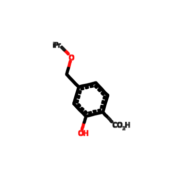 CC(C)OCc1ccc(C(=O)O)c(O)c1